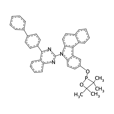 CC1(C)OP(Oc2ccc3c(c2)c2c4ccccc4ccc2n3-c2nc(-c3ccc(-c4ccccc4)cc3)c3ccccc3n2)C1(C)C